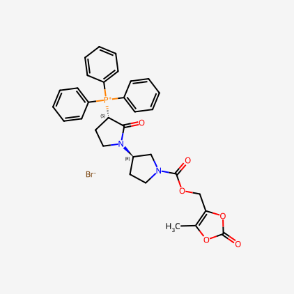 Cc1oc(=O)oc1COC(=O)N1CC[C@@H](N2CC[C@H]([P+](c3ccccc3)(c3ccccc3)c3ccccc3)C2=O)C1.[Br-]